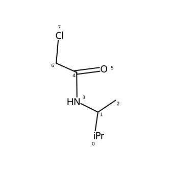 CC(C)C(C)NC(=O)CCl